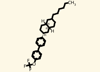 CCCCCCC1CC[C@@H]2C[C@H](c3ccc(-c4ccc(OC(F)(F)F)cc4)cc3)CC[C@@H]2C1